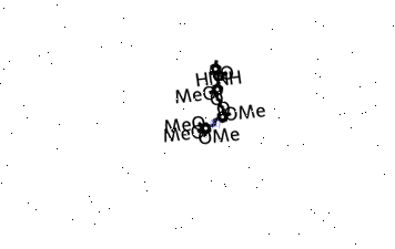 COc1cc(C2NC(=O)c3cc(C)ccc3N2)ccc1OCCOc1cc(/C=C/c2cc(OC)c(OC)c(OC)c2)ccc1OC